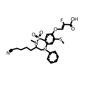 CSc1cc2c(cc1O/C=C(\F)C(=O)O)S(=O)(=O)N(C)C(CCCCC#N)CN2c1ccccc1